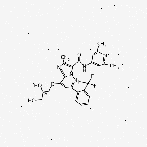 Cc1cc(NC(=O)c2c(C)nc3c(OC[C@H](O)CO)cc(-c4ccccc4C(F)(F)F)nn23)cc(C)n1